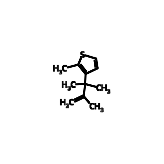 C=C(C)C(C)(C)c1ccsc1C